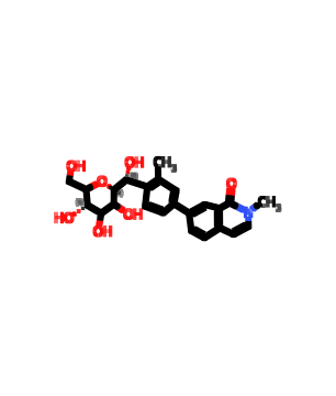 Cc1cc(-c2ccc3ccn(C)c(=O)c3c2)ccc1[C@@H](O)[C@H]1OC(CO)[C@@H](O)C(O)C1O